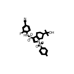 Cc1ccc(S(=O)(=O)n2cc(S(=O)(=O)Nc3ccc(C#N)cc3F)c3c2CC(C(C)(C)O)CC3)cc1